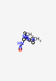 CN(C)c1ccccc1C1CCN(c2nc(C3(C)CCCC3)nc3ccc(CNCCN4CCOCC4)cc23)CC1